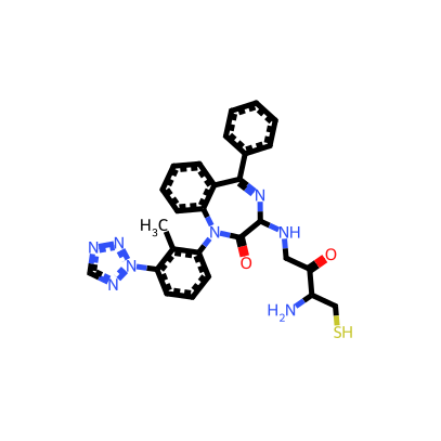 Cc1c(N2C(=O)C(NCC(=O)C(N)CS)N=C(c3ccccc3)c3ccccc32)cccc1-n1ncnn1